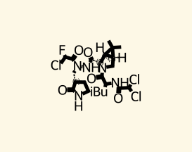 CCC(C)C(NC(=O)C(Cl)Cl)C(=O)N1C[C@H]2[C@@H]([C@H]1C(=O)NN(C[C@@H]1CCNC1=O)C(=O)C(F)Cl)C2(C)C